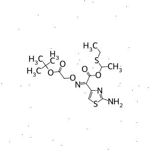 CCSC(C)OC(=O)C(=NOCC(=O)OC(C)(C)C)c1csc(N)n1